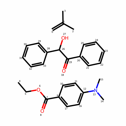 C=C(C)C.CCOC(=O)c1ccc(N(C)C)cc1.O=C(c1ccccc1)C(O)c1ccccc1